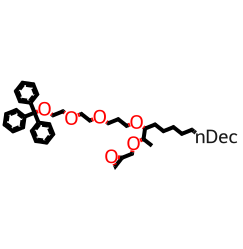 CCCCCCCCCCCCCCCC(OCCCOCCOCCOC(c1ccccc1)(c1ccccc1)c1ccccc1)C(C)OCC1CO1